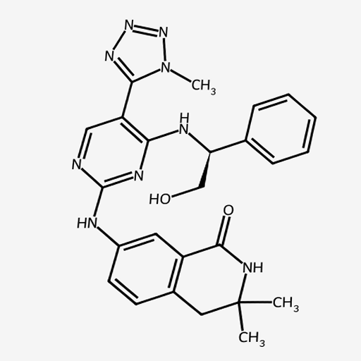 Cn1nnnc1-c1cnc(Nc2ccc3c(c2)C(=O)NC(C)(C)C3)nc1N[C@H](CO)c1ccccc1